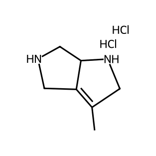 CC1=C2CNCC2NC1.Cl.Cl